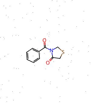 O=C1CSCN1C(=O)c1ccccc1